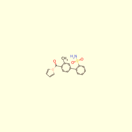 Cc1cc(-c2ccccc2S(N)(=O)=O)ccc1C(=O)B1C=CC=C1